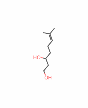 CC(C)=CCCC(O)CCO